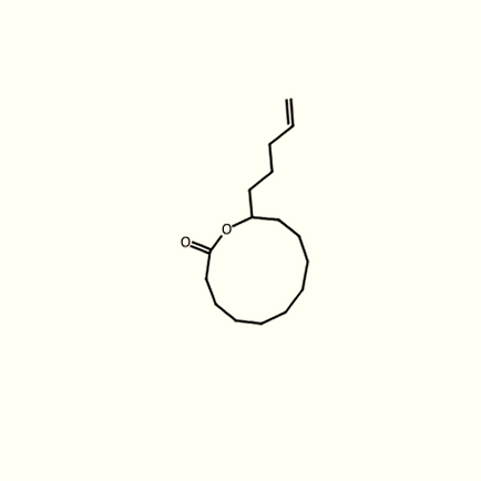 C=CCCCC1CCCCCCCCCC(=O)O1